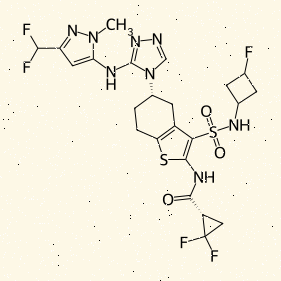 Cn1nc(C(F)F)cc1Nc1nncn1[C@H]1CCc2sc(NC(=O)[C@@H]3CC3(F)F)c(S(=O)(=O)NC3CC(F)C3)c2C1